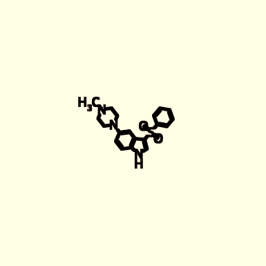 CN1CCN(c2ccc3[nH]cc(S(=O)(=O)c4ccccc4)c3c2)CC1